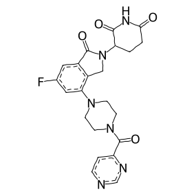 O=C1CCC(N2Cc3c(cc(F)cc3N3CCN(C(=O)c4ccncn4)CC3)C2=O)C(=O)N1